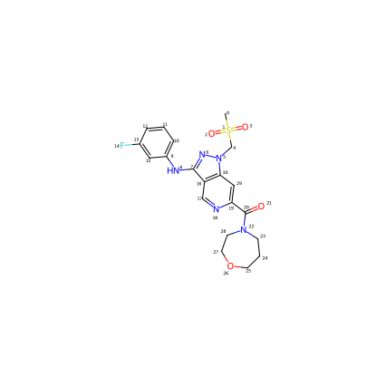 CS(=O)(=O)Cn1nc(Nc2cccc(F)c2)c2cnc(C(=O)N3CCCOCC3)cc21